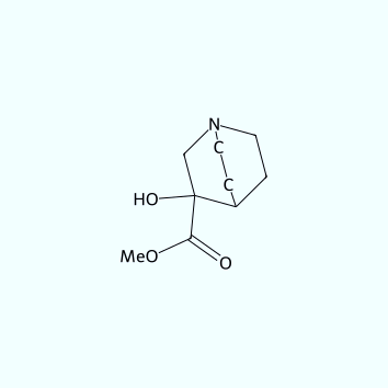 COC(=O)C1(O)CN2CCC1CC2